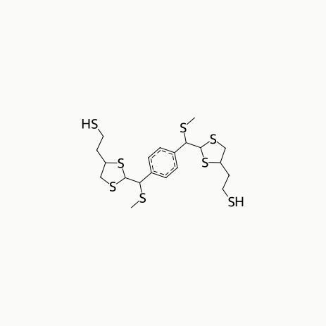 CSC(c1ccc(C(SC)C2SCC(CCS)S2)cc1)C1SCC(CCS)S1